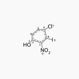 O=[N+]([O-])c1c(O)ccc(Cl)c1I